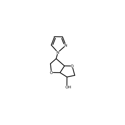 OC1COC2C1OCC2n1c[c]cn1